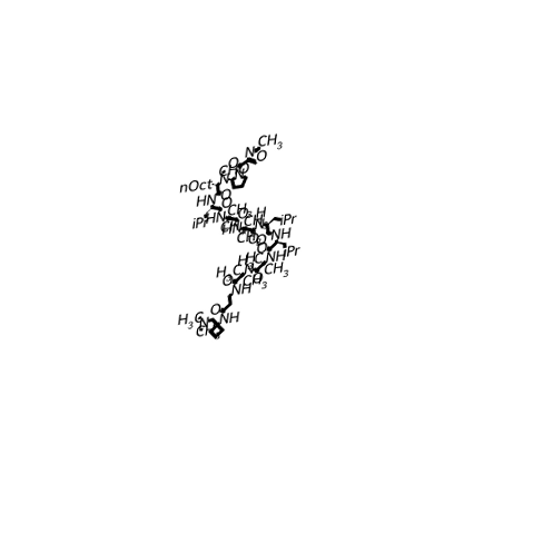 CCCCCCCC[C@@H](C(=O)N[C@@H](CC(C)C)C(=O)NC(C)(C)C(=O)NC(C)(C)C(=O)N[C@@H](CC(C)C)C(=O)N[C@@H](CC(C)C)C(=O)NC(C)(C)C(=O)NC(C)(C)C(=O)NCCC(=O)NC1(CN(C)C)CCC1)N(C=O)[C@@H]1CCCN1C(=O)c1coc(C)n1